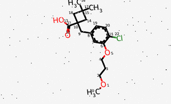 COCCCOc1cc(CC2(C(=O)O)CC(C)(C)C2)ccc1Cl